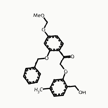 COCOc1ccc(C(=O)COc2cc(C)ccc2CO)c(OCc2ccccc2)c1